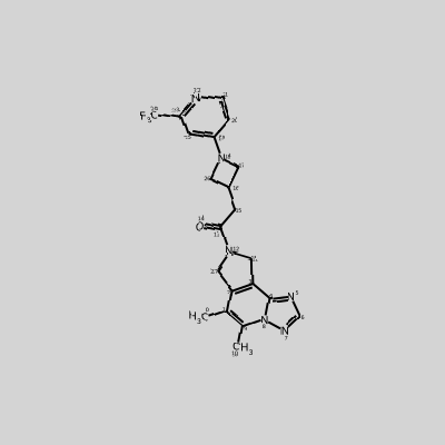 Cc1c2c(c3ncnn3c1C)CN(C(=O)CC1CN(c3ccnc(C(F)(F)F)c3)C1)C2